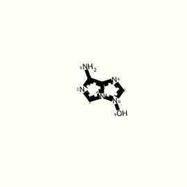 Nc1ncn2c1ncn2O